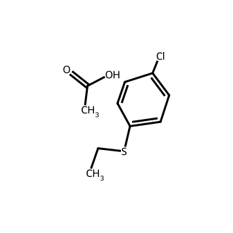 CC(=O)O.CCSc1ccc(Cl)cc1